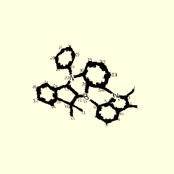 Cc1c(C)n2c3c(cccc13)B1C3=C(c4ccccc4C3(C)C)N(c3ccccc3)c3cccc-2c31